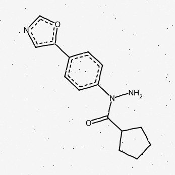 NN(C(=O)C1CCCC1)c1ccc(-c2cnco2)cc1